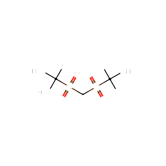 CC(C)(C)S(=O)(=O)CS(=O)(=O)C(C)(C)C